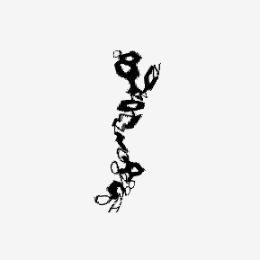 O=C1CCC(N2C(=O)c3cccc(OCCCCN4CCN(c5ccc(-n6cc(-c7ccc8c(c7)CCC8=O)c(-c7ccncc7)n6)cc5)CC4)c3C2=O)C(=O)N1